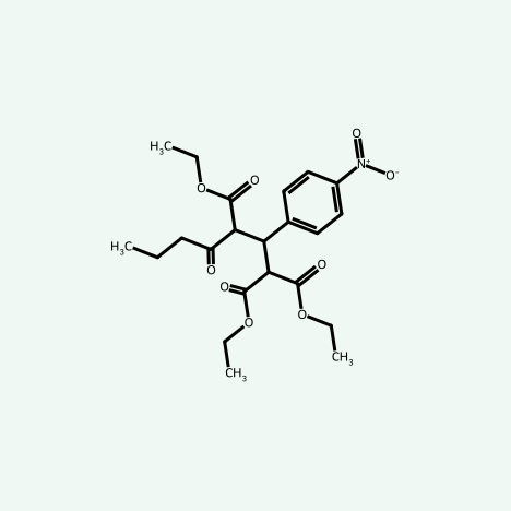 CCCC(=O)C(C(=O)OCC)C(c1ccc([N+](=O)[O-])cc1)C(C(=O)OCC)C(=O)OCC